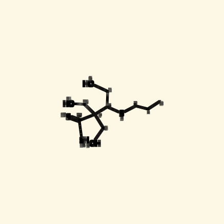 CCCSC(CO)C(CO)(CO)C(=S)S